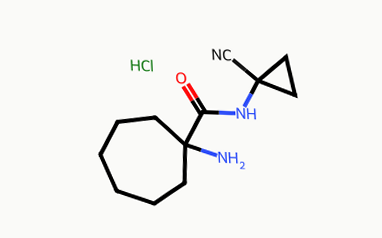 Cl.N#CC1(NC(=O)C2(N)CCCCCC2)CC1